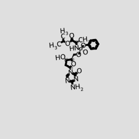 CC(C)OC(=O)[C@@H](C)NP(=O)(OC[C@H]1O[C@@H](n2cnc(N)nc2=O)C[C@@H]1O)Oc1ccccc1